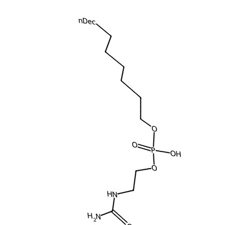 CCCCCCCCCCCCCCCCOP(=O)(O)OCCNC(N)=O